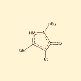 CCCCn1[nH]c(C(C)(C)C)c(CC)c1=O